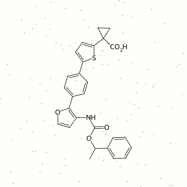 CC(OC(=O)Nc1ccoc1-c1ccc(-c2ccc(C3(C(=O)O)CC3)s2)cc1)c1ccccc1